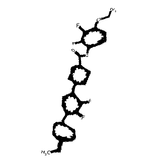 CCOc1ccc(OC(=O)c2ccc(-c3ccc(-c4ccc(CC)cc4)c(F)c3F)cc2)c(F)c1F